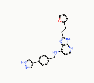 c1coc(CCc2nc3c(NCc4ccc(-c5cn[nH]c5)cc4)ccnc3[nH]2)c1